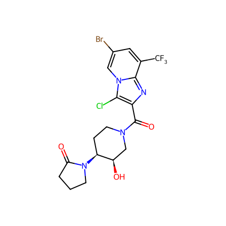 O=C(c1nc2c(C(F)(F)F)cc(Br)cn2c1Cl)N1CC[C@H](N2CCCC2=O)[C@H](O)C1